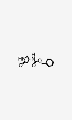 O=C1C[C@@H](NC(=O)OCc2ccccc2)CN1